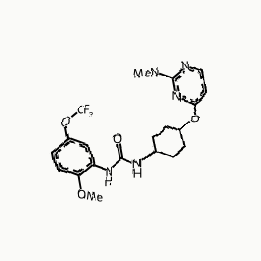 CNc1nccc(OC2CCC(NC(=O)Nc3cc(OC(F)(F)F)ccc3OC)CC2)n1